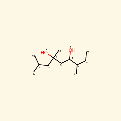 CCC(C)C(O)CC(C)(O)CC(C)C